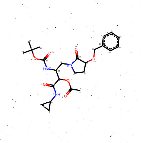 CC(=O)OC(C(=O)NC1CC1)C(CN1CCC(OCc2ccccc2)C1=O)NC(=O)OC(C)(C)C